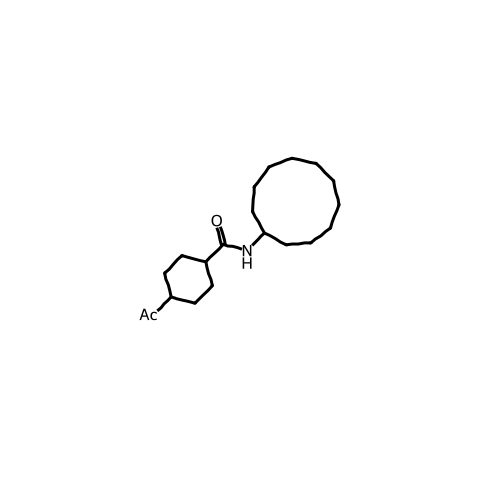 CC(=O)C1CCC(C(=O)NC2CCCCCCCCCC2)CC1